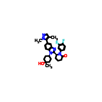 Cc1cnn(C)c1-c1ccc2c(c1)nc([C@@H]1CCCC(=O)N1c1ccc(F)c(F)c1)n2[C@H]1CC[C@@](C)(O)CC1